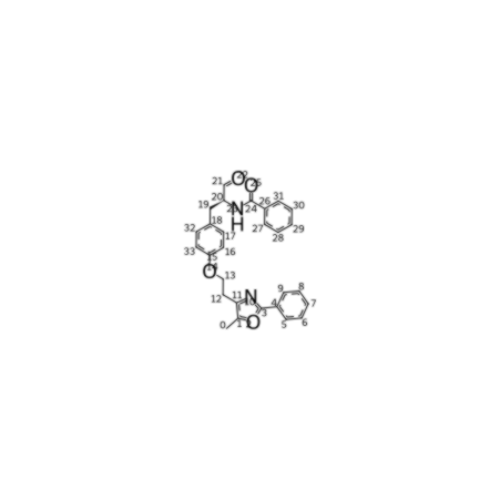 Cc1oc(-c2ccccc2)nc1CCOc1ccc(C[C@@H](C=O)NC(=O)c2ccccc2)cc1